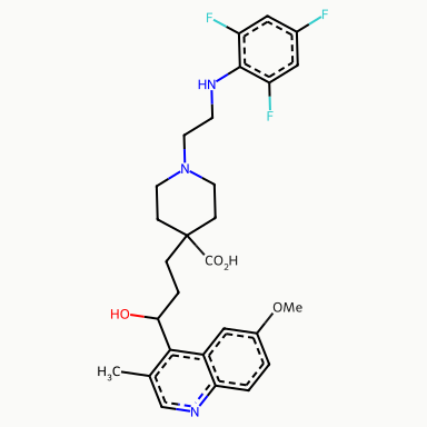 COc1ccc2ncc(C)c(C(O)CCC3(C(=O)O)CCN(CCNc4c(F)cc(F)cc4F)CC3)c2c1